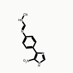 N#CNC=Nc1ccc(-c2nc[nH]c2[N+](=O)[O-])cc1